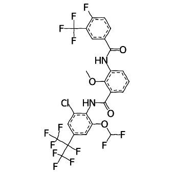 COc1c(NC(=O)c2ccc(F)c(C(F)(F)F)c2)cccc1C(=O)Nc1c(Cl)cc(C(F)(C(F)(F)F)C(F)(F)F)cc1OC(F)F